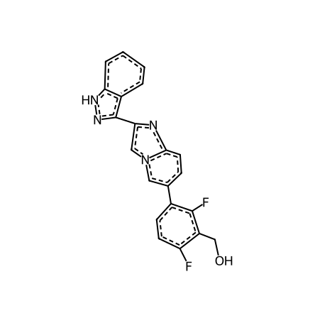 OCc1c(F)ccc(-c2ccc3nc(-c4n[nH]c5ccccc45)cn3c2)c1F